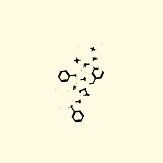 COC(=O)[C@@H]1[C@@H](N(Cc2ccnc(N(C(=O)OC(C)(C)C)C(=O)OC(C)(C)C)c2)C(=O)N[C@H](C)c2ccccc2)C(=O)N1C(=O)N[C@H](C)c1ccccc1